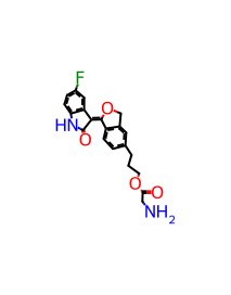 NCC(=O)OCCCc1ccc2c(c1)CO/C2=C1/C(=O)Nc2ccc(F)cc21